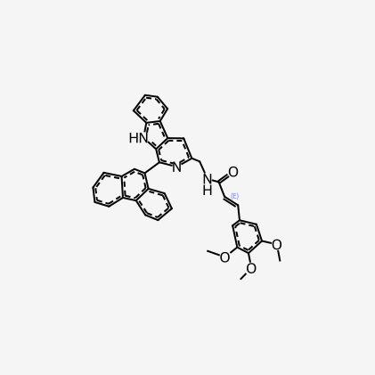 COc1cc(/C=C/C(=O)NCc2cc3c([nH]c4ccccc43)c(-c3cc4ccccc4c4ccccc34)n2)cc(OC)c1OC